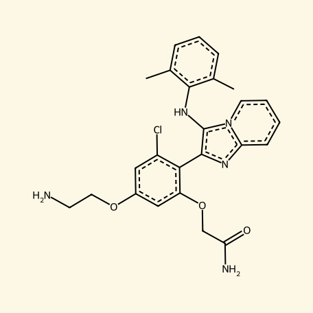 Cc1cccc(C)c1Nc1c(-c2c(Cl)cc(OCCN)cc2OCC(N)=O)nc2ccccn12